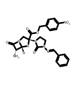 N[C@@H]1C(=O)N2C[C@@](C(=O)OCc3ccc([N+](=O)[O-])cc3)(N3CCN(/N=C/c4ccccc4)C3=O)S[C@H]12